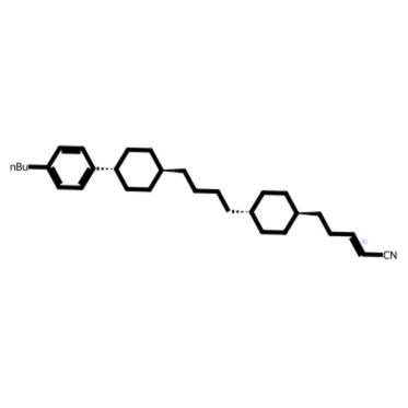 CCCCc1ccc([C@H]2CC[C@H](CCCC[C@H]3CC[C@H](CC/C=C/C#N)CC3)CC2)cc1